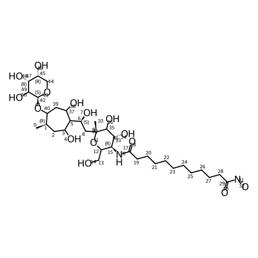 C[C@@H]1CC(O)C([C@@H](O)C[C@@]2(C)OC(CO)[C@H](NC(=O)CCCCCCCCCCC(=O)N=O)[C@@H](O)C2O)C(O)CC1O[C@@H]1OC[C@@H](O)[C@@H](O)C1O